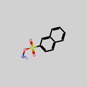 NOS(=O)(=O)c1ccc2[c]cccc2c1